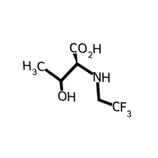 CC(O)[C@H](NCC(F)(F)F)C(=O)O